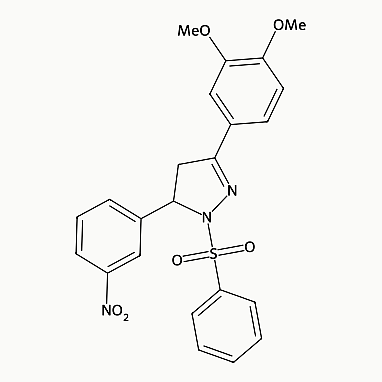 COc1ccc(C2=NN(S(=O)(=O)c3ccccc3)C(c3cccc([N+](=O)[O-])c3)C2)cc1OC